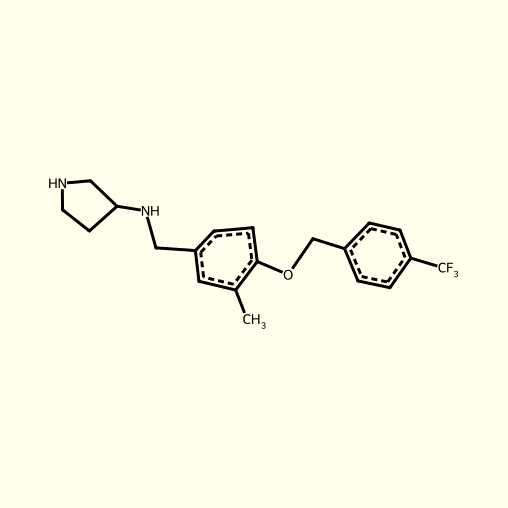 Cc1cc(CNC2CCNC2)ccc1OCc1ccc(C(F)(F)F)cc1